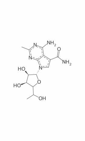 Cc1nc(N)c2c(C(N)=O)cn([C@@H]3OC(C(C)O)[C@@H](O)[C@H]3O)c2n1